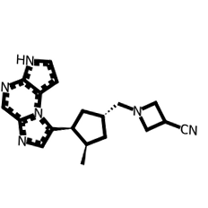 C[C@@H]1C[C@@H](CN2CC(C#N)C2)C[C@@H]1c1cnc2cnc3[nH]ccc3n12